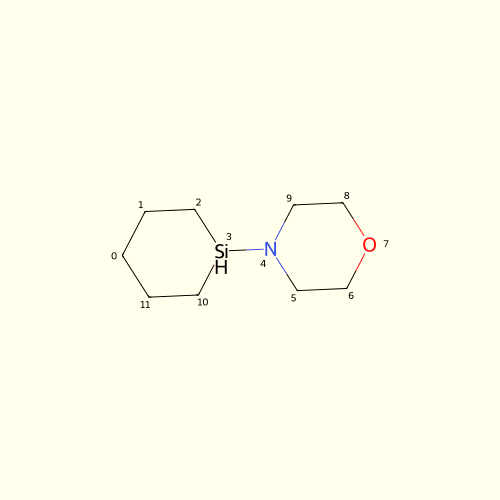 C1CC[SiH](N2CCOCC2)CC1